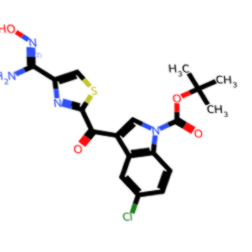 CC(C)(C)OC(=O)n1cc(C(=O)c2nc(/C(N)=N/O)cs2)c2cc(Cl)ccc21